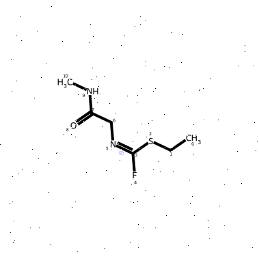 CCS/C(F)=N\CC(=O)NC